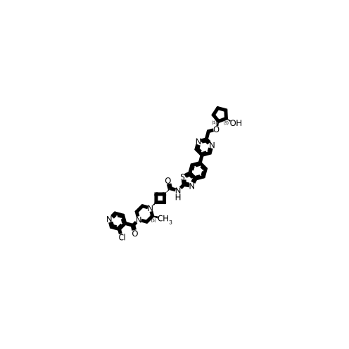 C[C@H]1CN(C(=O)c2ccncc2Cl)CCN1[C@H]1C[C@@H](C(=O)Nc2nc3ccc(-c4cnc(CO[C@H]5CCC[C@@H]5O)nc4)cc3s2)C1